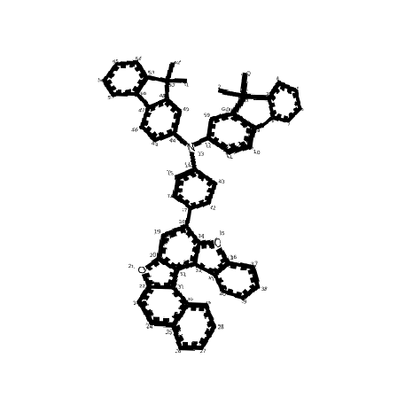 CC1(C)c2ccccc2-c2ccc(N(c3ccc(-c4cc5oc6ccc7ccccc7c6c5c5c4oc4ccccc45)cc3)c3ccc4c(c3)C(C)(C)c3ccccc3-4)cc21